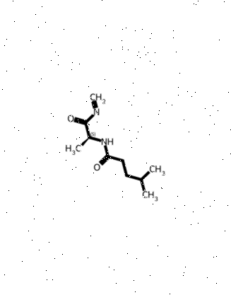 C=NC(=O)[C@H](C)NC(=O)CCC(C)C